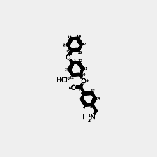 Cl.NCc1ccc(C(=O)Oc2ccc(Oc3ccccc3)cc2)cc1